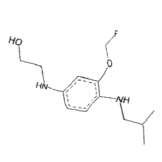 CC(C)CNc1ccc(NCCO)cc1OCF